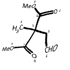 COC(=O)C(C)(CC=O)C(=O)OC